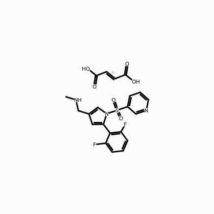 CNCc1cc(-c2c(F)cccc2F)n(S(=O)(=O)c2cccnc2)c1.O=C(O)/C=C/C(=O)O